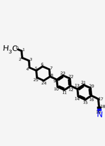 CCCCCC1CCC(c2ccc(-c3ccc(CC#N)cc3)cc2)CC1